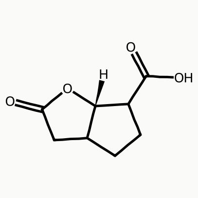 O=C1CC2CCC(C(=O)O)[C@H]2O1